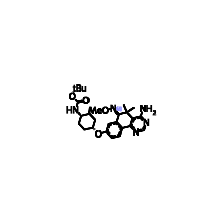 CO/N=C1\c2cc(O[C@H]3CC[C@H](NC(=O)OC(C)(C)C)CC3)ccc2-c2ncnc(N)c2C1(C)C